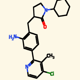 Cc1c(Cl)ccnc1-c1ccc(CC2CCN(C3CCCCC3)C2=O)c(N)c1